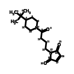 CC(C)(C)C1CCN(C(=O)CCCN2C(=O)C=CC2=O)CC1